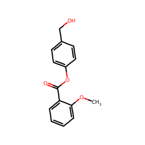 COc1ccccc1C(=O)Oc1ccc(CO)cc1